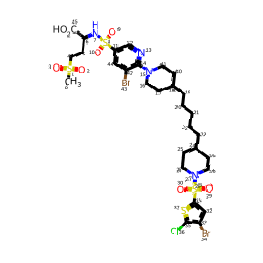 CS(=O)(=O)CCC(NS(=O)(=O)c1cnc(N2CCC(CCCCCC3CCN(S(=O)(=O)c4cc(Br)c(Cl)s4)CC3)CC2)c(Br)c1)C(=O)O